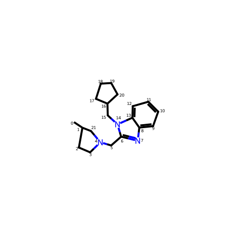 CC1CCN(Cc2nc3ccccc3n2CC2CCCC2)C1